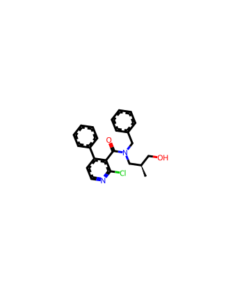 C[C@H](CO)CN(Cc1ccccc1)C(=O)c1c(-c2ccccc2)ccnc1Cl